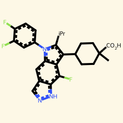 CC(C)c1c(C2CCC(C)(C(=O)O)CC2)c2c(F)c3[nH]ncc3cc2n1-c1ccc(F)c(F)c1